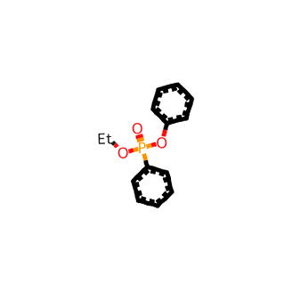 CCOP(=O)(Oc1ccccc1)c1ccccc1